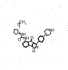 COC[C@H]1CCCN1NC(=O)Nc1cccc2c1C(=O)c1c(-c3ccc(N4CCNCC4)cc3)n[nH]c1-2